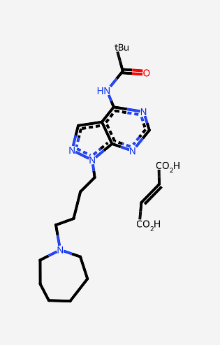 CC(C)(C)C(=O)Nc1ncnc2c1cnn2CCCCN1CCCCCC1.O=C(O)C=CC(=O)O